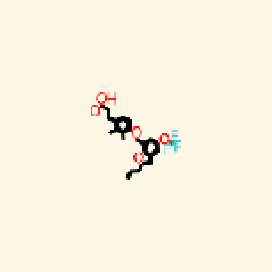 CCCc1cc2cc(OC(F)(F)F)cc(COc3ccc(CCC(=O)O)c(C)c3C)c2o1